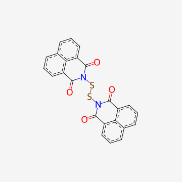 O=C1c2cccc3cccc(c23)C(=O)N1SSN1C(=O)c2cccc3cccc(c23)C1=O